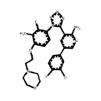 Cc1c(OCCN2CCOCC2)ccc(-n2nnnc2-c2cc(-c3ccc(F)c(Cl)c3)cnc2N)c1F